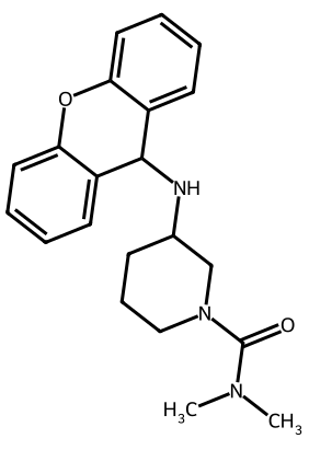 CN(C)C(=O)N1CCCC(NC2c3ccccc3Oc3ccccc32)C1